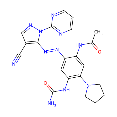 CC(=O)Nc1cc(N2CCCC2)c(NC(N)=O)cc1/N=N/c1c(C#N)cnn1-c1ncccn1